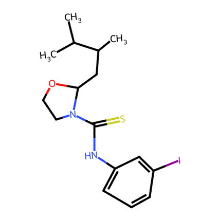 CC(C)C(C)CC1OCCN1C(=S)Nc1cccc(I)c1